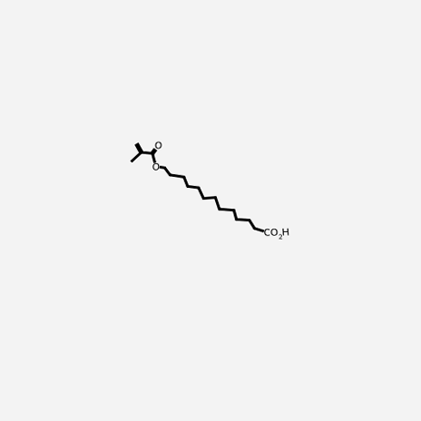 C=C(C)C(=O)OCCCCCCCCCCCCC(=O)O